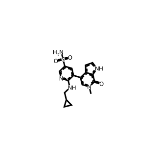 Cn1cc(-c2cc(S(N)(=O)=O)cnc2NCC2CC2)c2cc[nH]c2c1=O